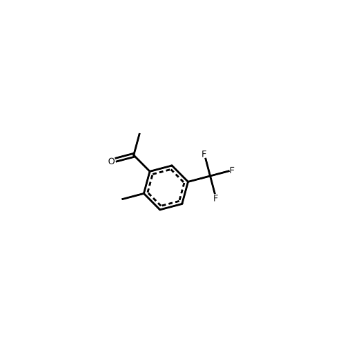 CC(=O)c1cc(C(F)(F)F)ccc1C